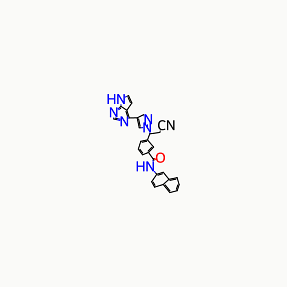 N#CCC(c1cccc(C(=O)Nc2ccc3ccccc3c2)c1)n1cc(-c2ncnc3[nH]ccc23)cn1